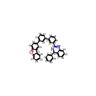 c1ccc(-c2nc(-c3cccc(-c4cccc(-c5ccc6oc7ccccc7c6c5)c4)c3)nc3ccccc23)cc1